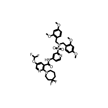 COc1ccc(CN(Cc2ccc(OC)cc2OC)S(=O)(=O)c2cc(NC(=O)c3cc(OC(F)F)cnc3N3CCCC(F)(F)CC3)ccn2)c(OC)c1